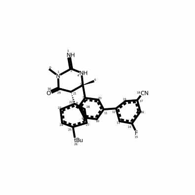 CN1C(=N)N[C@](C)(c2cccc(-c3cc(F)cc(C#N)c3)c2)[C@H](c2ccc(C(C)(C)C)cc2)C1=O